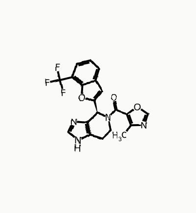 Cc1ncoc1C(=O)N1CCc2[nH]cnc2[C@H]1c1cc2cccc(C(F)(F)F)c2o1